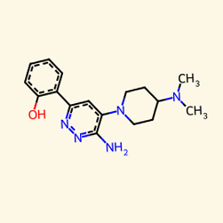 CN(C)C1CCN(c2cc(-c3ccccc3O)nnc2N)CC1